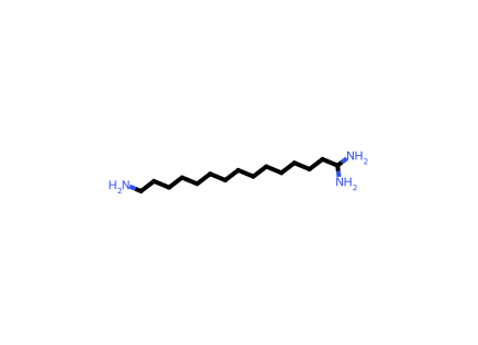 NCCCCCCCCCCCCCCC(N)N